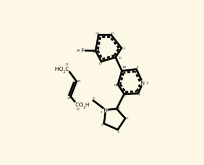 CN1CCCC1c1cncc(-c2cccc(F)c2)c1.O=C(O)C=CC(=O)O